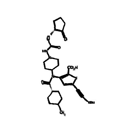 CC(C)(C)C#Cc1cc(N(C(=O)[C@H]2CC[C@H](C)CC2)C2CCN(NC(=O)O[C@@H]3CCCC3=O)CC2)c(C(=O)O)s1